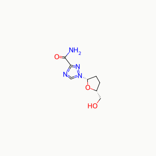 NC(=O)c1ncn([C@@H]2CC[C@H](CO)O2)n1